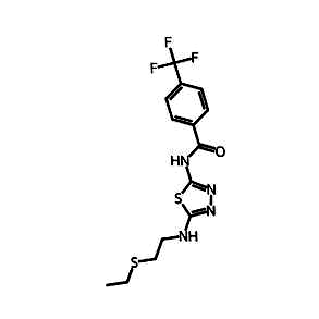 CCSCCNc1nnc(NC(=O)c2ccc(C(F)(F)F)cc2)s1